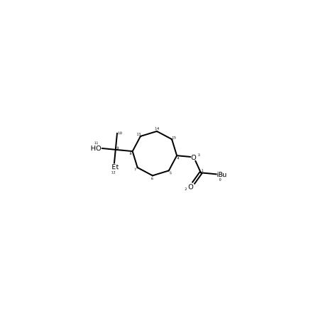 CCC(C)C(=O)OC1CCCC(C(C)(O)CC)CCC1